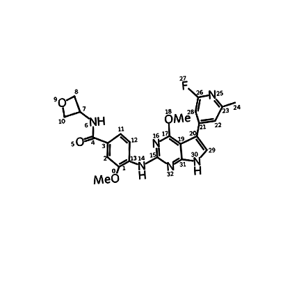 COc1cc(C(=O)NC2COC2)ccc1Nc1nc(OC)c2c(-c3cc(C)nc(F)c3)c[nH]c2n1